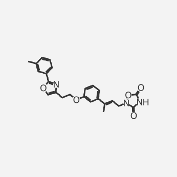 CC(=CCn1oc(=O)[nH]c1=O)c1cccc(OCCc2coc(-c3cccc(C)c3)n2)c1